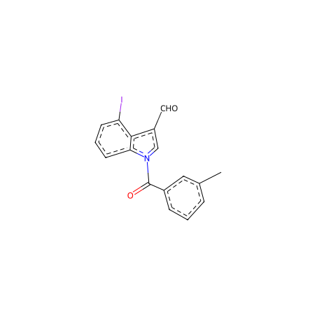 Cc1cccc(C(=O)n2cc(C=O)c3c(I)cccc32)c1